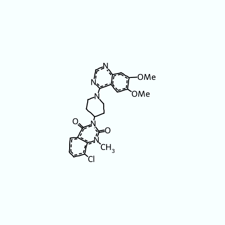 COc1cc2ncnc(N3CCC(n4c(=O)c5cccc(Cl)c5n(C)c4=O)CC3)c2cc1OC